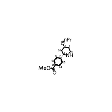 CCCO[C@H]1CCN[C@H](c2ccc(C(=O)OC)cc2)C1